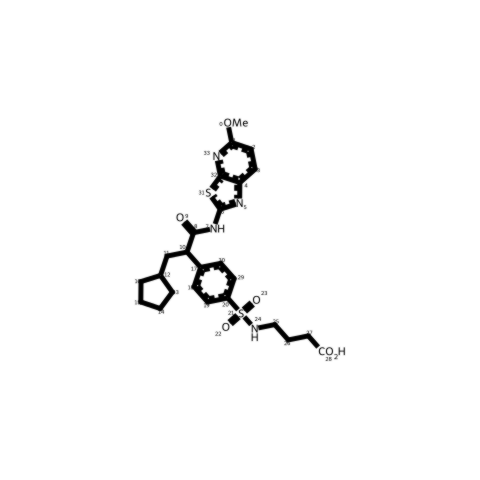 COc1ccc2nc(NC(=O)C(CC3CCCC3)c3ccc(S(=O)(=O)NCCCC(=O)O)cc3)sc2n1